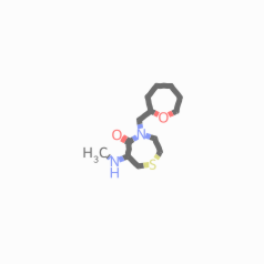 CNC1CSCCN(CC2CCCCCO2)C1=O